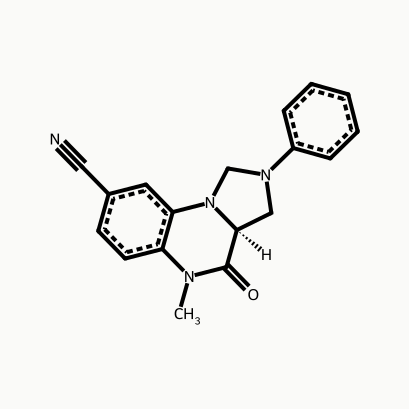 CN1C(=O)[C@@H]2CN(c3ccccc3)CN2c2cc(C#N)ccc21